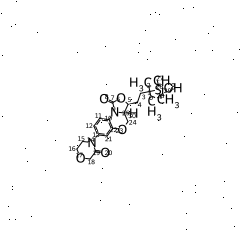 CC(C)(CC[C@@H]1OC(=O)N2c3ccc(N4CCOCC4=O)cc3OC[C@@H]12)[Si](C)(C)O